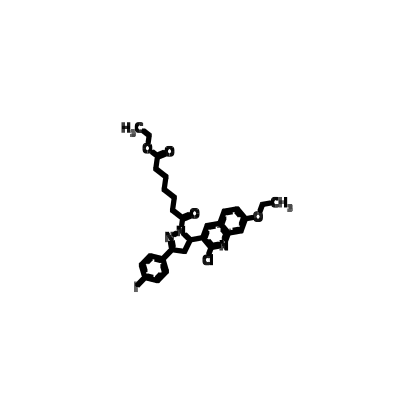 CCOC(=O)CCCCCC(=O)N1N=C(c2ccc(I)cc2)CC1c1cc2ccc(OCC)cc2nc1Cl